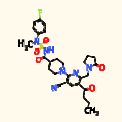 CCCC(=O)c1cc(C#N)c(N2CCC(C(=O)NS(=O)(=O)N(C)c3ccc(F)cc3)CC2)nc1CN1CCCC1=O